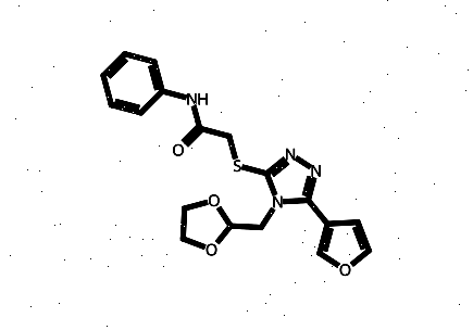 O=C(CSc1nnc(-c2ccoc2)n1CC1OCCO1)Nc1ccccc1